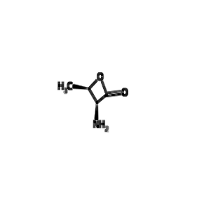 C[C@H]1OC(=O)[C@H]1N